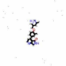 Cc1cc(-c2ccnc3c2C(=O)NC3)ccc1OCC(C)CC(C)N